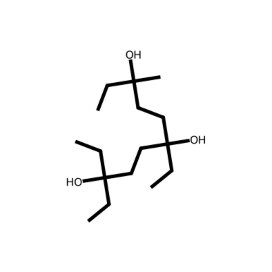 CCC(C)(O)CCC(O)(CC)CCC(O)(CC)CC